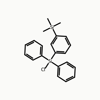 C[Si](C)(C)c1cccc([Si](Cl)(c2ccccc2)c2ccccc2)c1